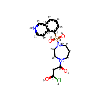 O=C(Cl)CC(=O)N1CCCN(S(=O)(=O)c2cccc3cnccc23)CC1